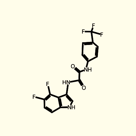 O=C(Nc1ccc(C(F)(F)F)cc1)C(=O)Nc1c[nH]c2ccc(F)c(F)c12